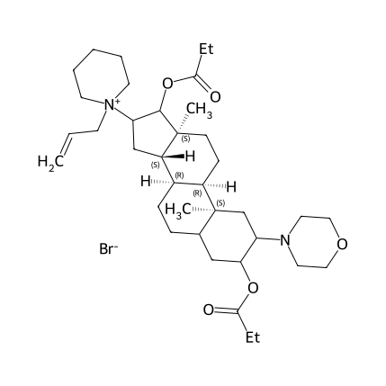 C=CC[N+]1(C2C[C@H]3[C@@H]4CCC5CC(OC(=O)CC)C(N6CCOCC6)C[C@]5(C)[C@@H]4CC[C@]3(C)C2OC(=O)CC)CCCCC1.[Br-]